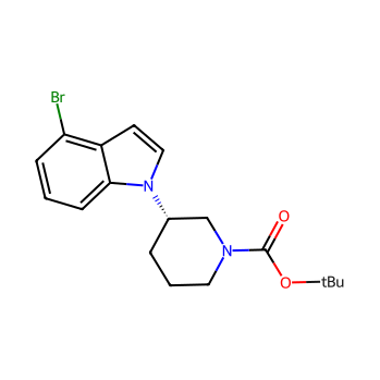 CC(C)(C)OC(=O)N1CCC[C@H](n2ccc3c(Br)cccc32)C1